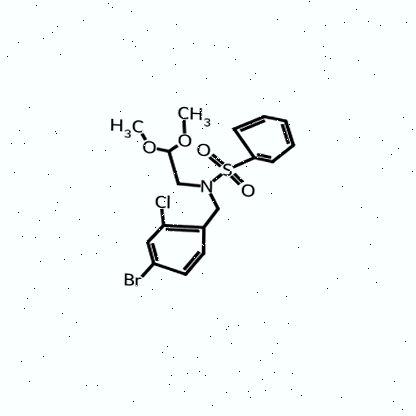 COC(CN(Cc1ccc(Br)cc1Cl)S(=O)(=O)c1ccccc1)OC